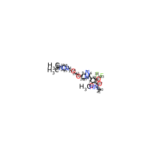 COc1cc(-c2cnc3cc(OCCOCCN4CCN(C(C)C)CC4)ccn23)cc(OC(F)F)c1C(=O)NC1CC1